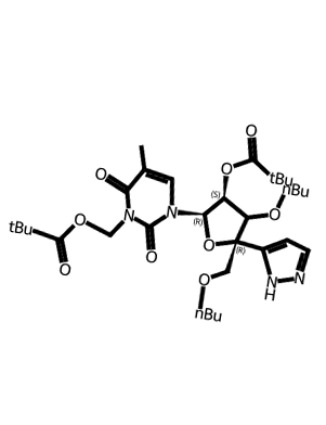 CCCCOC[C@@]1(c2ccn[nH]2)O[C@@H](n2cc(C)c(=O)n(COC(=O)C(C)(C)C)c2=O)[C@@H](OC(=O)C(C)(C)C)C1OCCCC